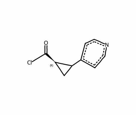 O=C(Cl)[C@@H]1CC1c1ccncc1